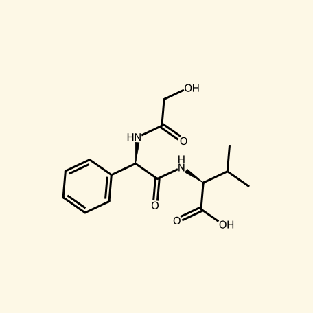 CC(C)[C@H](NC(=O)[C@H](NC(=O)CO)c1ccccc1)C(=O)O